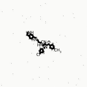 Cc1ccc(C(=O)c2nn(-c3ccc(Cl)cc3)c(NCCCNCc3ccc4cc[nH]c4c3)c2C#N)cc1